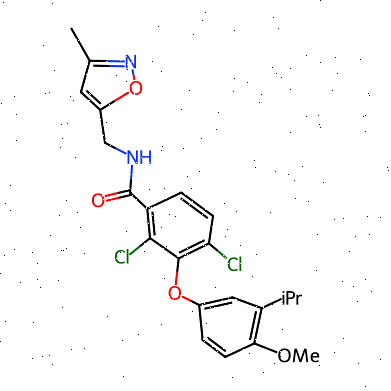 COc1ccc(Oc2c(Cl)ccc(C(=O)NCc3cc(C)no3)c2Cl)cc1C(C)C